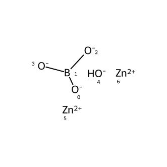 [O-]B([O-])[O-].[OH-].[Zn+2].[Zn+2]